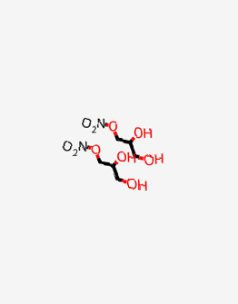 O=[N+]([O-])OCC(O)CO.O=[N+]([O-])OCC(O)CO